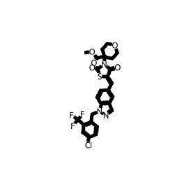 COC(=O)C1(N2C(=O)S/C(=C\c3ccc4c(cnn4Cc4ccc(Cl)cc4C(F)(F)F)c3)C2=O)CCOCC1